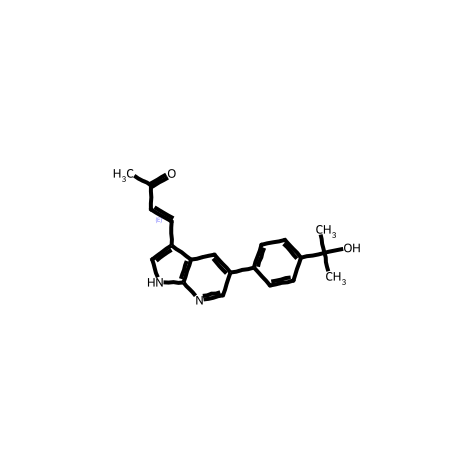 CC(=O)/C=C/c1c[nH]c2ncc(-c3ccc(C(C)(C)O)cc3)cc12